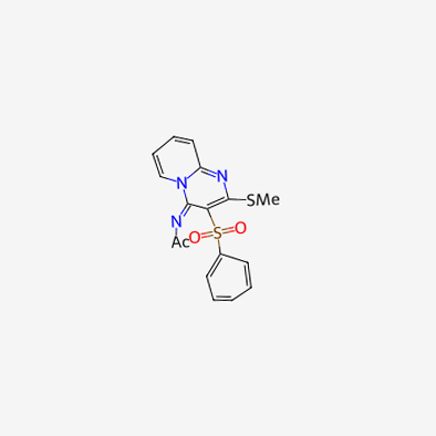 CSc1nc2ccccn2c(=NC(C)=O)c1S(=O)(=O)c1ccccc1